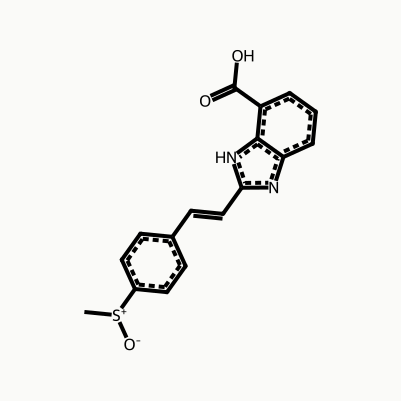 C[S+]([O-])c1ccc(C=Cc2nc3cccc(C(=O)O)c3[nH]2)cc1